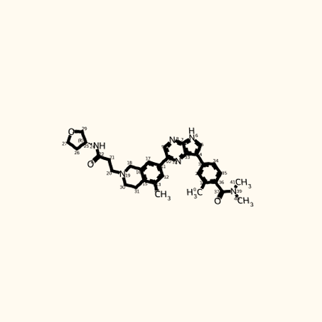 Cc1cc(-c2c[nH]c3ncc(-c4cc(C)c5c(c4)CN(CCC(=O)N[C@@H]4CCOC4)CC5)nc23)ccc1C(=O)N(C)C